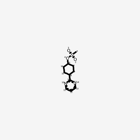 CS(=O)(=O)OC1CCC(c2ncccn2)CC1